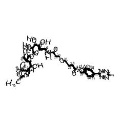 CC1=N[C@H]2C(O)CC(CO)(CO[C@@H]3OC(CNC(=O)CCOCCCC(=O)NCc4ccc(-c5nncnn5)cc4)[C@@H](O)C(O)C3O)O[C@H]2O1